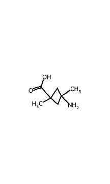 CC1(N)CC(C)(C(=O)O)C1